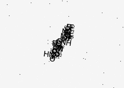 Cc1nn(-c2ncc(NC(=O)c3cnn(-c4ccc5c6c(cccc46)C(=O)N5)c3C(F)(F)F)cc2C(F)(F)F)nc1C(F)(F)F